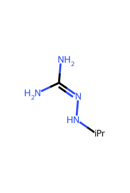 CC(C)NN=C(N)N